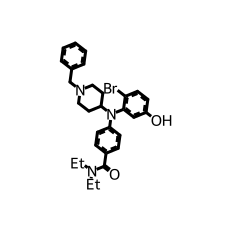 CCN(CC)C(=O)c1ccc(N(c2cc(O)ccc2Br)C2CCN(Cc3ccccc3)CC2)cc1